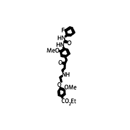 CCOC(=O)c1ccc(OCCNCCC(=O)Cc2ccc(NC(=O)Nc3ccccc3F)c(OC)c2)c(OC)c1